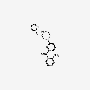 Nc1ncccc1C(=O)c1cccc(N2CCNC(Cc3ccc[nH]3)C2)n1